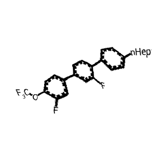 CCCCCCCc1ccc(-c2ccc(-c3ccc(OC(F)(F)F)c(F)c3)cc2F)cc1